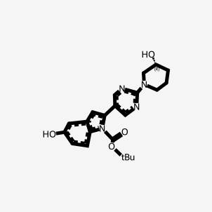 CC(C)(C)OC(=O)n1c(-c2cnc(N3CCC[C@@H](O)C3)nc2)cc2cc(O)ccc21